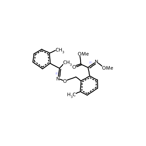 CO/N=C(/C(=O)OC)c1cccc(C)c1CO/N=C(\C)c1ccccc1C